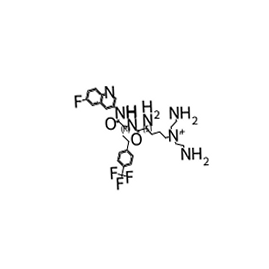 C[N+](CCN)(CCN)CCC[C@H](N)C(=O)N[C@H](CCc1ccc(C(F)(F)F)cc1)C(=O)Nc1cnc2ccc(F)cc2c1